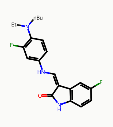 CCCCN(CC)c1ccc(NC=C2C(=O)Nc3ccc(F)cc32)cc1F